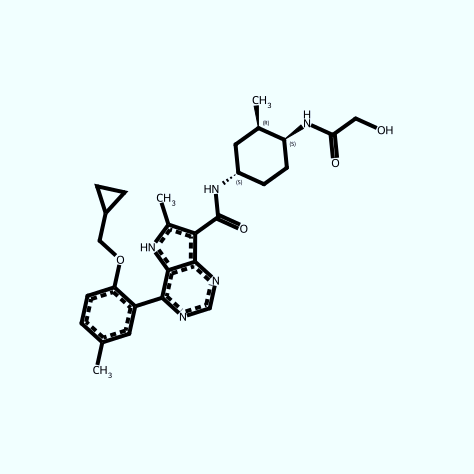 Cc1ccc(OCC2CC2)c(-c2ncnc3c(C(=O)N[C@H]4CC[C@H](NC(=O)CO)[C@H](C)C4)c(C)[nH]c23)c1